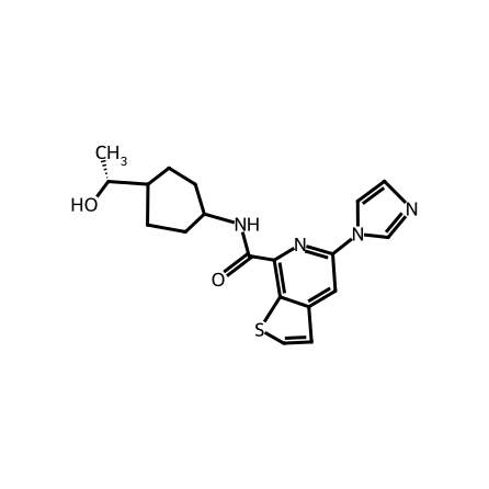 C[C@@H](O)C1CCC(NC(=O)c2nc(-n3ccnc3)cc3ccsc23)CC1